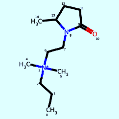 CCC[N+](C)(C)CCN1C(=O)CCC1C